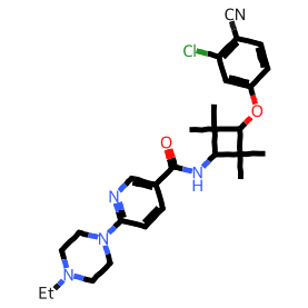 CCN1CCN(c2ccc(C(=O)NC3C(C)(C)C(Oc4ccc(C#N)c(Cl)c4)C3(C)C)cn2)CC1